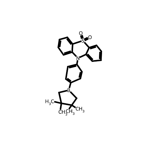 CC1(C)CB(c2ccc(N3c4ccccc4S(=O)(=O)c4ccccc43)cc2)CC1(C)C